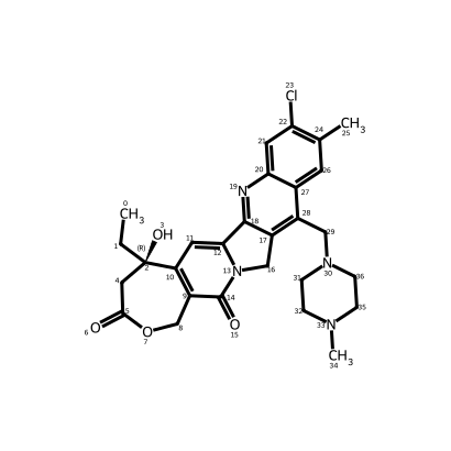 CC[C@@]1(O)CC(=O)OCc2c1cc1n(c2=O)Cc2c-1nc1cc(Cl)c(C)cc1c2CN1CCN(C)CC1